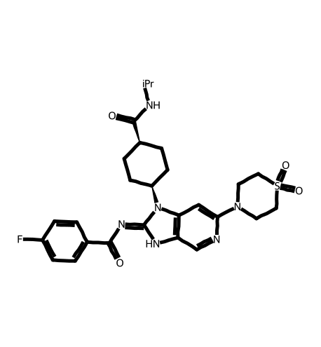 CC(C)NC(=O)[C@H]1CC[C@@H](n2/c(=N/C(=O)c3ccc(F)cc3)[nH]c3cnc(N4CCS(=O)(=O)CC4)cc32)CC1